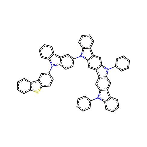 c1ccc(-n2c3ccccc3c3cc4c(cc32)c2cc3c(cc2n4-c2ccccc2)c2ccccc2n3-c2ccc3c(c2)c2ccccc2n3-c2ccc3sc4ccccc4c3c2)cc1